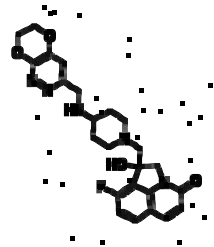 O=c1ccc2ccc(F)c3c2n1CC3(O)CN1CCC(NCc2cc3c(nn2)OCCO3)CC1